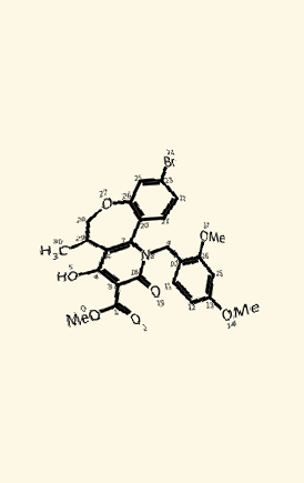 COC(=O)c1c(O)c2c(n(Cc3ccc(OC)cc3OC)c1=O)-c1ccc(Br)cc1OCC2C